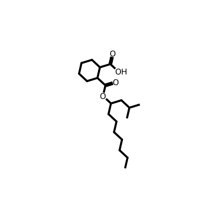 CCCCCCCC(CC(C)C)OC(=O)C1CCCCC1C(=O)O